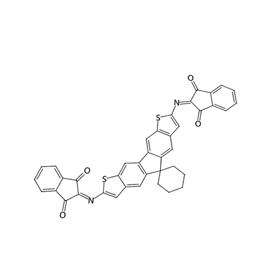 O=c1c(=Nc2cc3cc4c(cc3s2)-c2cc3sc(N=c5c(=O)c6ccccc6c5=O)cc3cc2C42CCCCC2)c(=O)c2ccccc12